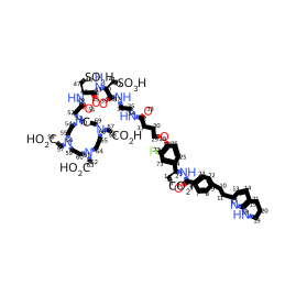 O=C(O)C[C@H](NC(=O)c1ccc(CCc2ccc3c(n2)NCCC3)cc1)c1ccc(OCCCC(=O)NCCNC(=O)[C@H](CS(=O)(=O)O)NC(=O)[C@H](CS(=O)(=O)O)NC(=O)CN2CCN(CC(=O)O)CCN(CC(=O)O)CCN(CC(=O)O)CC2)c(F)c1